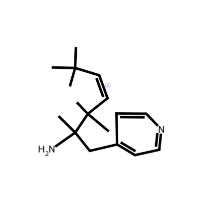 CC(C)(C)/C=C\C(C)(C)C(C)(N)Cc1ccncc1